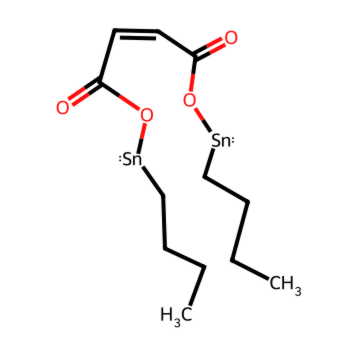 CCC[CH2][Sn][O]C(=O)/C=C\C(=O)[O][Sn][CH2]CCC